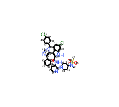 CN(C1CCN(c2ncccc2NC(=O)c2[nH]c3cc(Cl)cc4c3c2-c2c(-c3ccccc3)ncn2C4c2ccc(Cl)cc2)CC1)S(C)(=O)=O